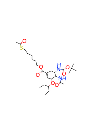 CCC(CC)O[C@@H]1C=C(C(=O)OCCCCCCSC(C)=O)C[C@H](NC(=O)OC(C)(C)C)C1NC(C)=O